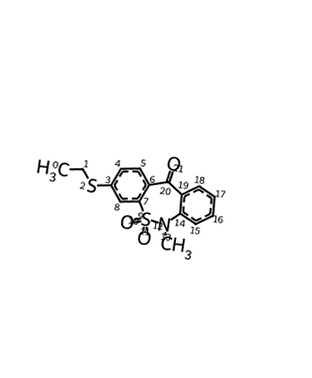 CCSc1ccc2c(c1)S(=O)(=O)N(C)c1ccccc1C2=O